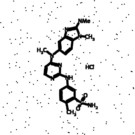 CNc1nc2cc(N(C)c3ccnc(Nc4ccc(C)c(S(N)(=O)=O)c4)n3)ccc2n1C.Cl